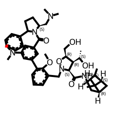 COc1c(CN2O[C@@H](CO)[C@@H]([C@H](C)O)[C@H]2C(=O)N[C@H]2C[C@H]3C[C@@H]([C@@H]2C)C3(C)C)cccc1-c1cc(C(=O)N2C(c3ccccc3)CC[C@H]2CN(C)C)cc(N(C)C)c1